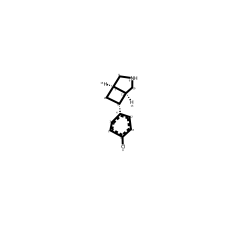 Clc1ccc([C@@H]2C[C@H]3CNC[C@H]32)cc1